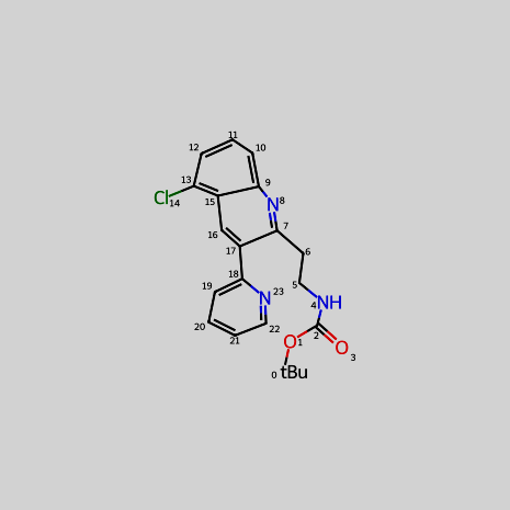 CC(C)(C)OC(=O)NCCc1nc2cccc(Cl)c2cc1-c1ccccn1